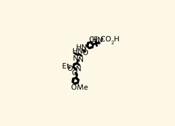 CCOc1cc(-c2ncc(NC(=O)Nc3ccc(C(C)(C)CNC(=O)O)c(C(F)(F)F)c3)c(C)n2)cnc1OCc1ccc(OC)cc1